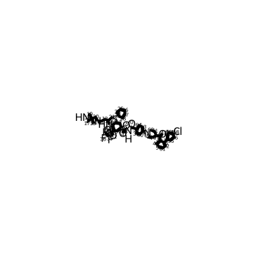 O=C(NS(=O)(=O)c1ccc(NC(CCN2CC3(CNC3)C2)CSc2ccccc2)c(S(=O)(=O)C(F)(F)F)c1)c1ccc(N2CCC(C(O)c3ccccc3-c3ccc(Cl)cc3)CC2)cc1